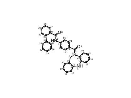 O=C(Nc1ccc(C(=O)N2Cc3ccccc3Nc3ccccc32)cc1)c1ccccc1-c1ccccc1